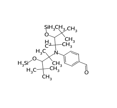 CC(C)(C)C(O[SiH3])C(C)(C)N(c1ccc(C=O)cc1)C(C)(C)C(O[SiH3])C(C)(C)C